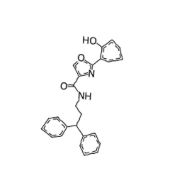 O=C(NCCC(c1ccccc1)c1ccccc1)c1coc(-c2ccccc2O)n1